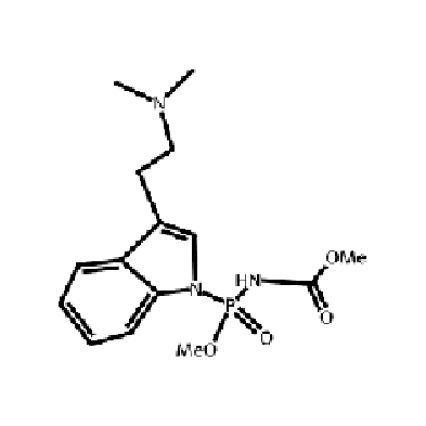 COC(=O)NP(=O)(OC)n1cc(CCN(C)C)c2ccccc21